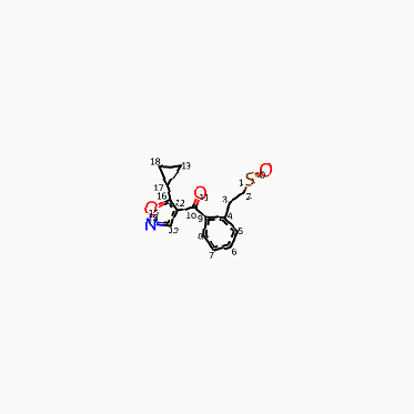 O=[S+]CCc1ccccc1C(=O)c1cnoc1C1CC1